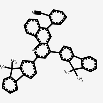 CC1(C)c2ccccc2-c2ccc(-c3cc(-c4ccc5c(c4)C(C)(C)c4ccccc4-5)c4cc(-c5ccccc5C#N)c5ccccc5c4n3)cc21